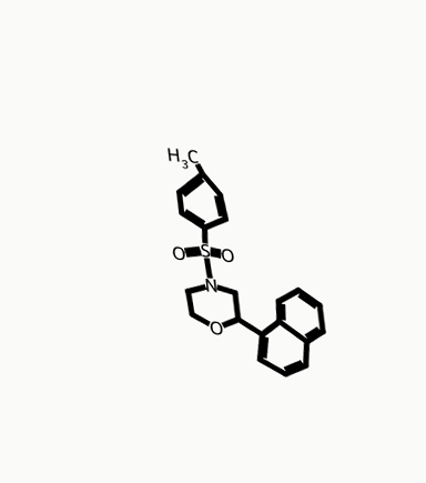 Cc1ccc(S(=O)(=O)N2CCOC(c3cccc4ccccc34)C2)cc1